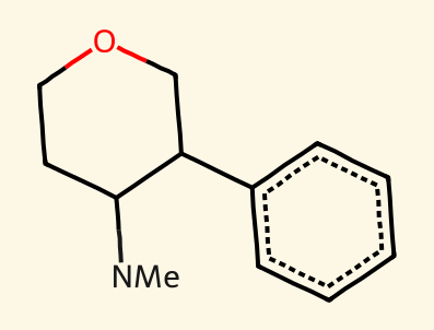 CNC1CCOCC1c1ccccc1